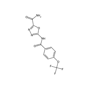 NC(=O)c1nnc(NC(=O)c2ccc(OC(F)(F)F)cc2)o1